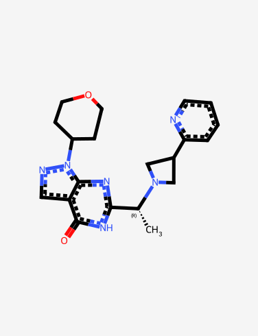 C[C@H](c1nc2c(cnn2C2CCOCC2)c(=O)[nH]1)N1CC(c2ccccn2)C1